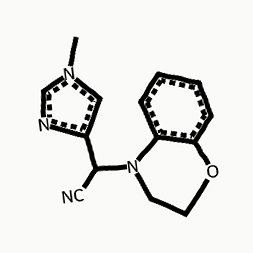 Cn1cnc(C(C#N)N2CCOc3ccccc32)c1